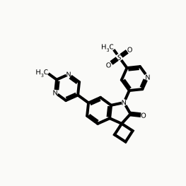 Cc1ncc(-c2ccc3c(c2)N(c2cncc(S(C)(=O)=O)c2)C(=O)C32CCC2)cn1